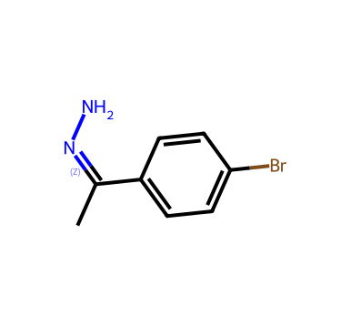 C/C(=N/N)c1ccc(Br)cc1